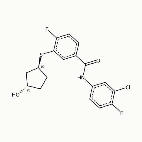 O=C(Nc1ccc(F)c(Cl)c1)c1ccc(F)c(S[C@H]2CC[C@H](O)C2)c1